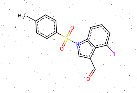 Cc1ccc(S(=O)(=O)n2cc(C=O)c3c(I)cccc32)cc1